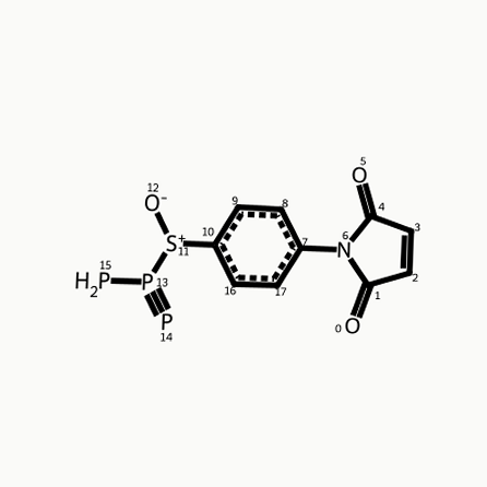 O=C1C=CC(=O)N1c1ccc([S+]([O-])P(#P)P)cc1